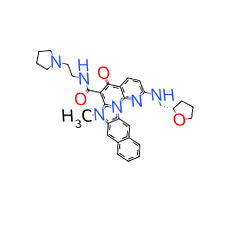 Cn1c2cc3ccccc3cc2n2c3nc(NC[C@@H]4CCCO4)ccc3c(=O)c(C(=O)NCCN3CCCC3)c12